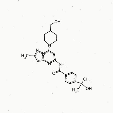 Cc1cc2nc(NC(=O)c3ccc(C(C)(C)O)cc3)cc(N3CCC(CO)CC3)n2n1